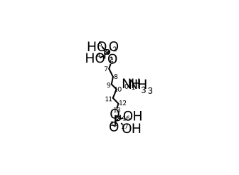 N.N.O=P(O)(O)OCCCCCCOP(=O)(O)O